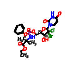 CCOC(=O)C(C)(C)NP(=O)(OC[C@H]1OC(n2ccc(=O)[nH]c2=O)[C@](Cl)(Br)[C@@H]1O)Oc1ccccc1